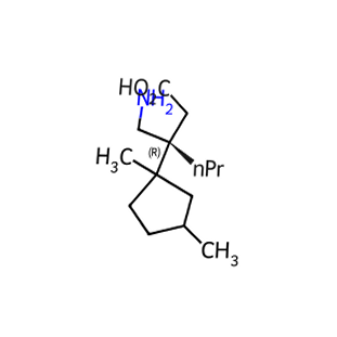 CCC[C@@](CN)(CC(=O)O)C1(C)CCC(C)C1